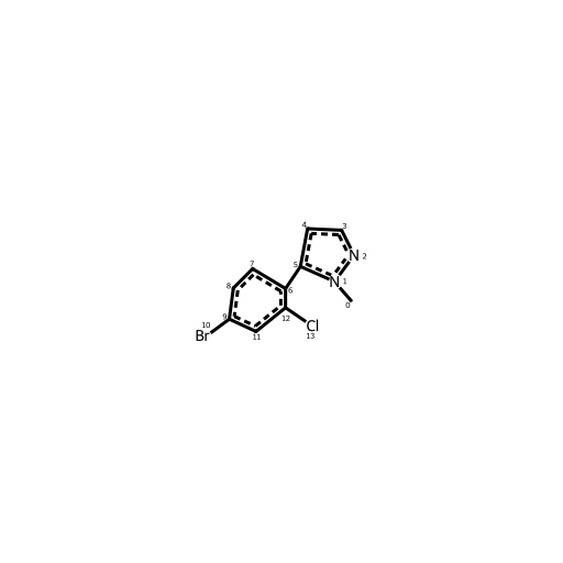 Cn1nccc1-c1ccc(Br)cc1Cl